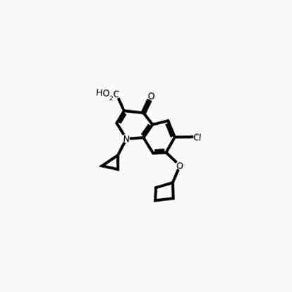 O=C(O)c1cn(C2CC2)c2cc(OC3CCC3)c(Cl)cc2c1=O